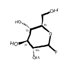 OC[C@H]1OC(F)[C@H](O)[C@@H](O)[C@@H]1O